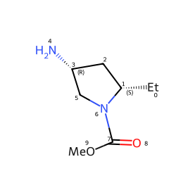 CC[C@H]1C[C@@H](N)CN1C(=O)OC